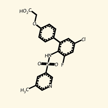 Cc1cncc(S(=O)(=O)Nc2c(F)cc(Cl)cc2-c2ccc(OCC(=O)O)cc2)c1